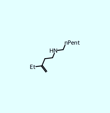 C=C(CC)CCNCCCCCC